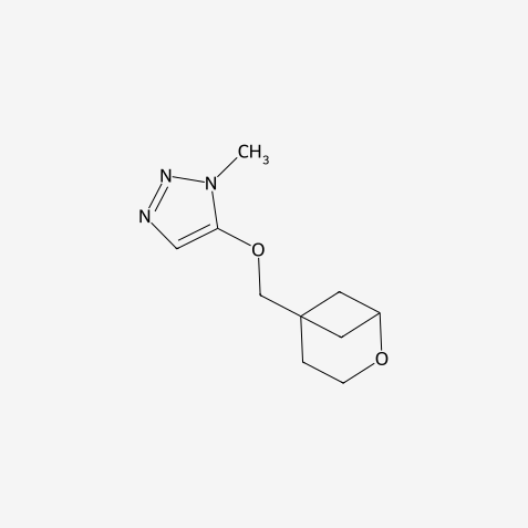 Cn1nncc1OCC12CCOC(C1)C2